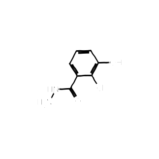 NNC(=O)c1cccc(O)c1Cl